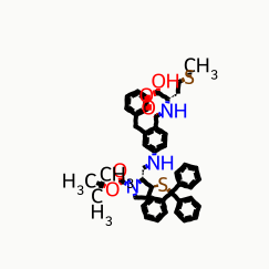 CSCC[C@H](NC(=O)c1ccc(NC[C@@H]2[C@@H](SC(c3ccccc3)(c3ccccc3)c3ccccc3)CCN2C(=O)OC(C)(C)C)cc1Cc1ccccc1)C(=O)O